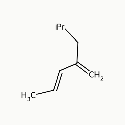 C=C(C=CC)CC(C)C